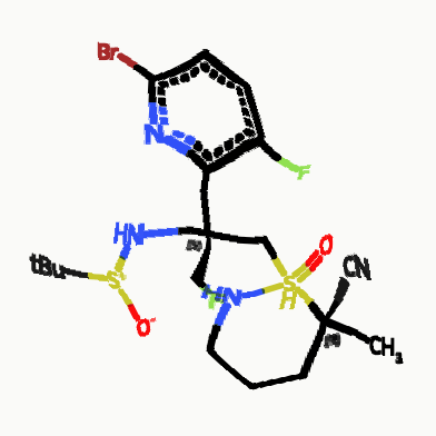 CC(C)(C)[S+]([O-])N[C@@](CF)(C[SH]1(=O)NCCC[C@]1(C)C#N)c1nc(Br)ccc1F